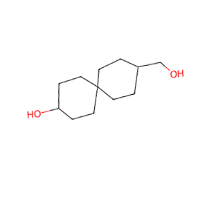 OCC1CCC2(CCC(O)CC2)CC1